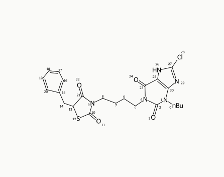 CCCCn1c(=O)n(CCCCN2C(=O)SC(Cc3ccccc3)C2=O)c(=O)c2[nH]c(Cl)nc21